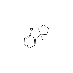 CC12CCCC1Nc1ccccc12